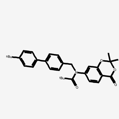 CCCCc1ccc(-c2ccc(CN(C(=O)C(C)(C)C)c3ccc4c(c3)OC(C)(C)OC4=O)cc2)cc1